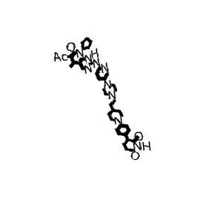 CC(=O)c1c(C)c2cnc(Nc3ccc(N4CCN(CCC5CCN(c6ccc(C7CCC(=O)NC7=O)cc6)CC5)CC4)cn3)nc2n(C2CCCC2)c1=O